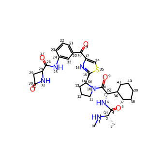 CN[C@@H](C)C(=O)N[C@H](C(=O)N1CCC[C@H]1c1nc(C(=O)c2cccc(NC(=O)C3CC(=O)N3)c2)cs1)C1CCCCC1